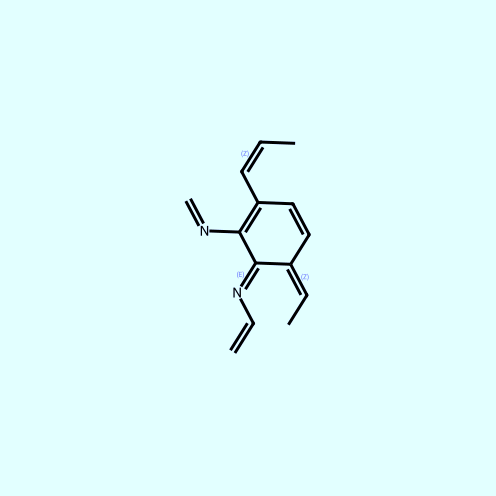 C=C/N=C1C(N=C)=C(/C=C\C)C=CC/1=C/C